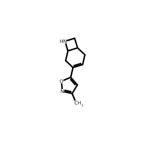 Cc1cc(C2=CCC3CNC3C2)on1